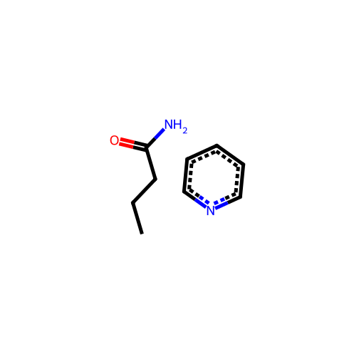 CCCC(N)=O.c1ccncc1